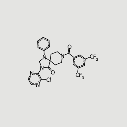 O=C(c1cc(C(F)(F)F)cc(C(F)(F)F)c1)N1CCC2(CC1)C(=O)N(c1nccnc1Cl)CN2c1ccccc1